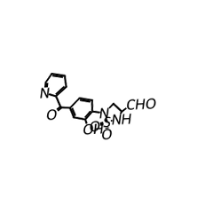 O=CC1CN(c2ccc(C(=O)c3ccccn3)cc2O)S(=O)(=O)N1